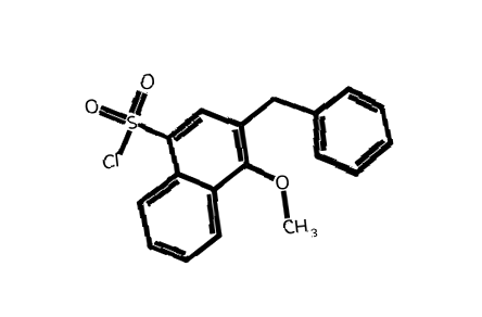 COc1c(Cc2ccccc2)cc(S(=O)(=O)Cl)c2ccccc12